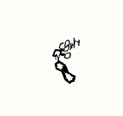 O=C(O)[C@]1(O)CCN(c2ccc3ccccc3c2)C1=O